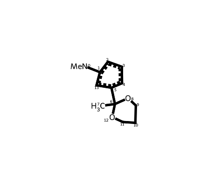 CNc1cccc(C2(C)OCCCO2)c1